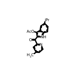 CC(=O)Oc1c(C(=O)c2cc(C)ccn2)[nH]c2ccc(C(C)C)cc12